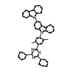 Cc1cc(-n2c3ccccc3c3cc(-n4c5ccccc5c5ccccc54)ccc32)c(C)cc1-c1nc(-c2ccccc2)nc(-c2ccccc2)n1